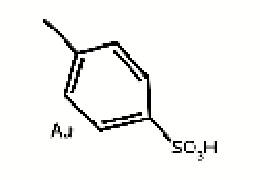 Cc1ccc(S(=O)(=O)O)cc1.[Au]